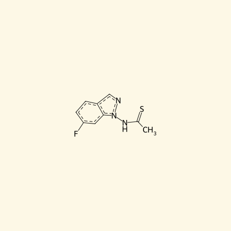 CC(=S)Nn1ncc2ccc(F)cc21